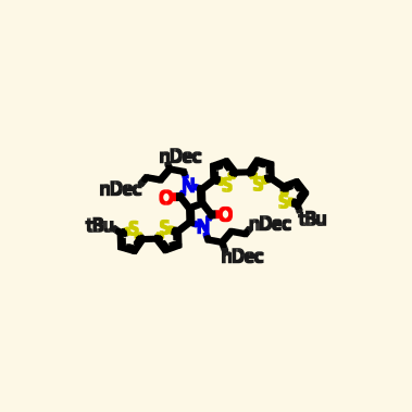 CCCCCCCCCCCCC(CCCCCCCCCC)CN1C(=O)C2=C(c3ccc(-c4ccc(C(C)(C)C)s4)s3)N(CC(CCCCCCCCCC)CCCCCCCCCCCC)C(=O)C2=C1c1ccc(-c2ccc(-c3ccc(C(C)(C)C)s3)s2)s1